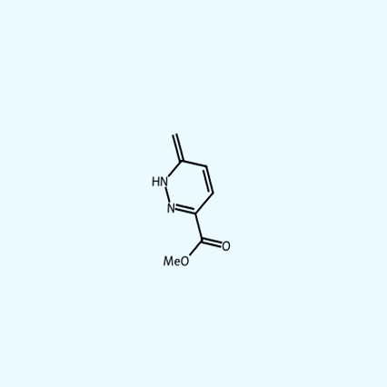 C=C1C=CC(C(=O)OC)=NN1